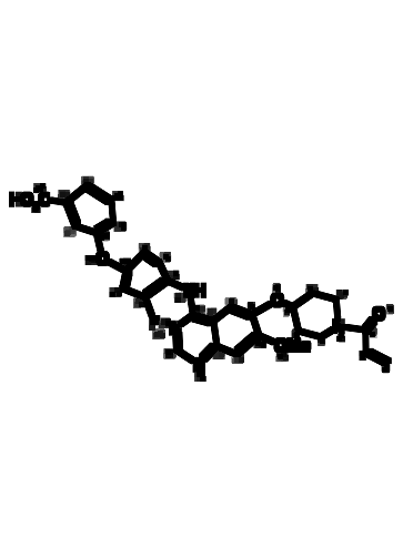 C=CC(=O)N1CCC(Oc2cc3c(Nc4ccc(Oc5cccc(C(=O)O)c5)cc4F)ncnc3cc2OC)CC1